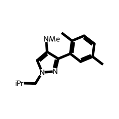 CNc1cn(CC(C)C)nc1-c1cc(C)ccc1C